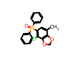 Cc1cc(P(=O)(c2ccccc2)c2ccccc2)c(Cl)c2c1OCO2